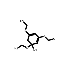 SCSC1=CC(S)(SCS)CC(SCS)=C1